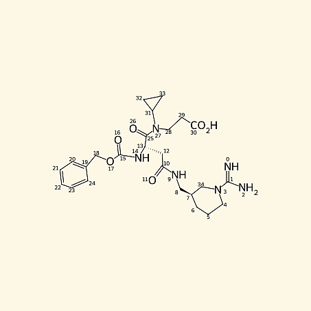 N=C(N)N1CCC[C@@H](CNC(=O)C[C@H](NC(=O)OCc2ccccc2)C(=O)N(CCC(=O)O)C2CC2)C1